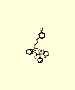 CN(CCCc1cccc(Cl)c1)C1CC2CCC1C2OC(=O)C(O)(C1=CCCS1)c1cccs1